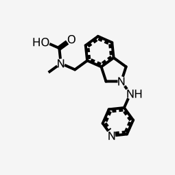 CN(Cc1cccc2c1CN(Nc1ccncc1)C2)C(=O)O